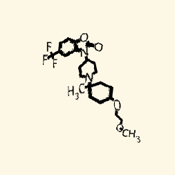 COCCOC1CCC(C)(N2CCC(n3c(=O)oc4ccc(C(F)(F)F)cc43)CC2)CC1